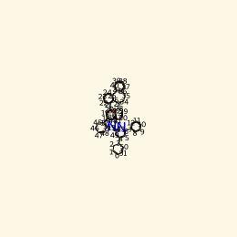 C1=CCC(c2cc(-c3ccccc3)nc(-n3c4c(c5cc(-c6cccc7c6C([C@H]6C=CC=CC6)CCc6ccccc6-7)ccc53)CCC=C4)c2)C=C1